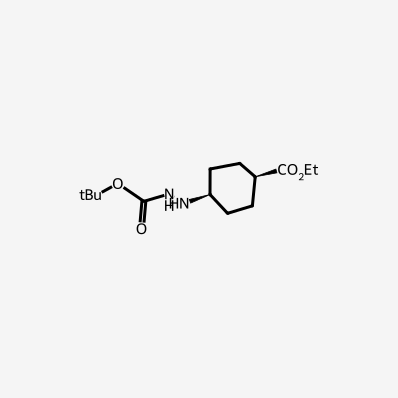 CCOC(=O)[C@H]1CC[C@@H](NNC(=O)OC(C)(C)C)CC1